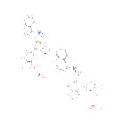 COC(=O)COc1cc(C2C[C@H](CN[C@H](C)c3cccc4c(-c5ccc6c(c5)O[C@@H](CN[C@H](C)c5cccc7ccccc57)C[C@H]6c5ccc(F)c(OCC(=O)OC)c5)cccc34)Oc3ccccc32)ccc1F